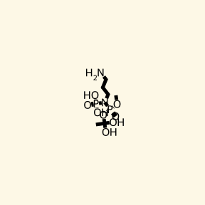 COP(=O)(OC(C)(O)O)N(CCCN)P(=O)(O)O